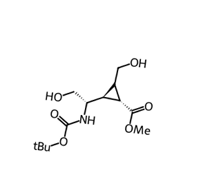 COC(=O)[C@H]1C(CO)[C@@H]1[C@@H](CO)NC(=O)OC(C)(C)C